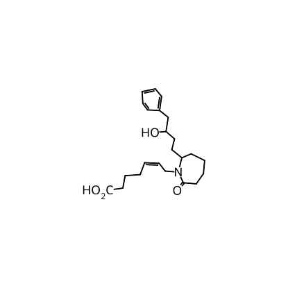 O=C(O)CCC/C=C\CN1C(=O)CCCCC1CCC(O)Cc1ccccc1